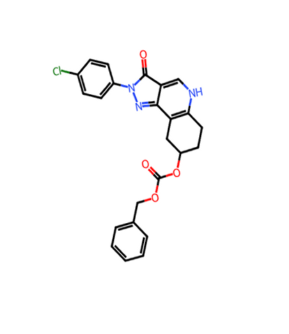 O=C(OCc1ccccc1)OC1CCc2[nH]cc3c(=O)n(-c4ccc(Cl)cc4)nc-3c2C1